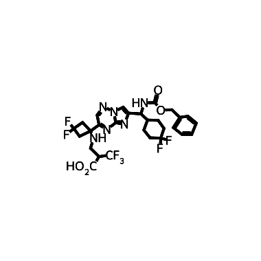 O=C(NC(c1cn2ncc(C3(NCC(C(=O)O)C(F)(F)F)CC(F)(F)C3)nc2n1)C1CCC(F)(F)CC1)OCc1ccccc1